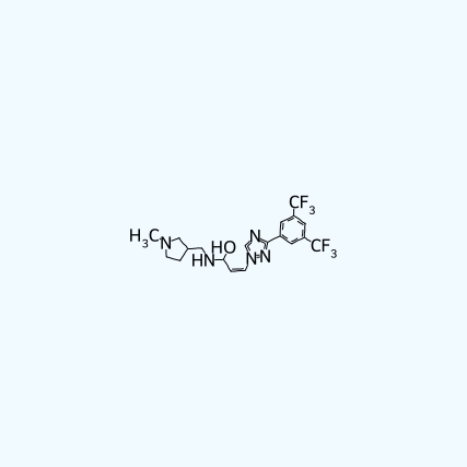 CN1CCC(CNC(O)/C=C\n2cnc(-c3cc(C(F)(F)F)cc(C(F)(F)F)c3)n2)C1